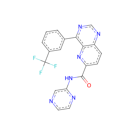 O=C(Nc1cnccn1)c1ccc2ncnc(-c3cccc(C(F)(F)F)c3)c2n1